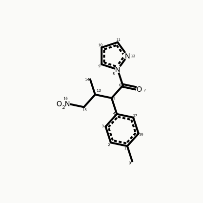 Cc1ccc(C(C(=O)n2cccn2)C(C)C[N+](=O)[O-])cc1